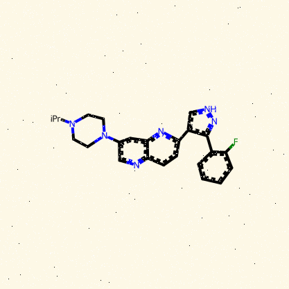 CC(C)N1CCN(c2cnc3ccc(-c4c[nH]nc4-c4ccccc4F)nc3c2)CC1